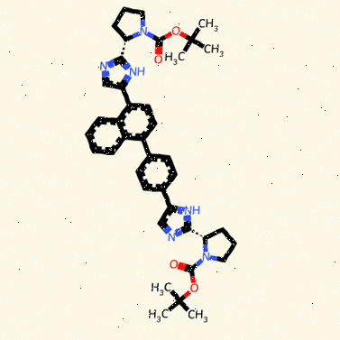 CC(C)(C)OC(=O)N1CCC[C@H]1c1ncc(-c2ccc(-c3ccc(-c4cnc([C@@H]5CCCN5C(=O)OC(C)(C)C)[nH]4)c4ccccc34)cc2)[nH]1